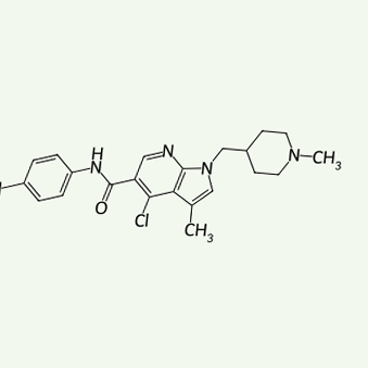 Cc1cn(CC2CCN(C)CC2)c2ncc(C(=O)Nc3ccc(Cl)cc3)c(Cl)c12